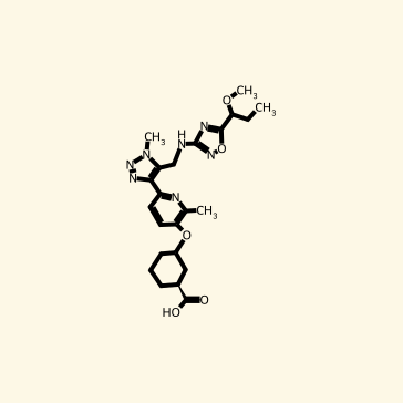 CCC(OC)c1nc(NCc2c(-c3ccc(OC4CCC[C@H](C(=O)O)C4)c(C)n3)nnn2C)no1